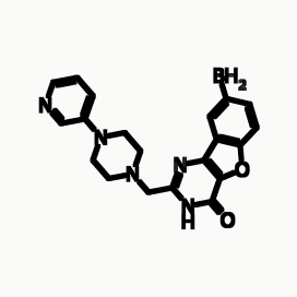 Bc1ccc2oc3c(=O)[nH]c(CN4CCN(c5cccnc5)CC4)nc3c2c1